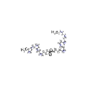 CC/C=C\C/C=C\C/C=C\C/C=C\C/C=C\CCCCOC(=O)CCC/C=C\C/C=C\C/C=C\C/C=C\C/C=C\CC